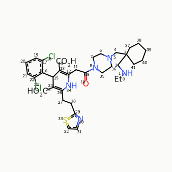 CCNCC1(CN2CCN(C(=O)CC3=C(C(=O)O)C(c4c(Cl)cccc4Cl)C(C(=O)O)=C(CCc4nccs4)N3)CC2)CCCCC1